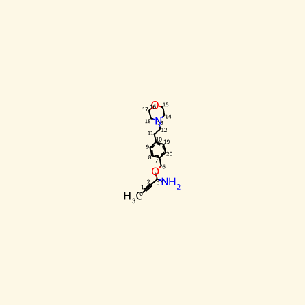 CC#CC(N)OCc1ccc(CCN2CCOCC2)cc1